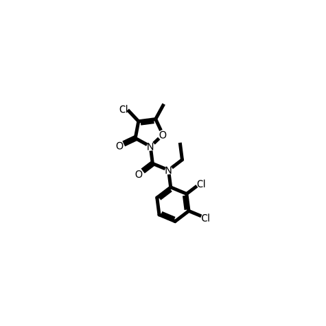 CCN(C(=O)n1oc(C)c(Cl)c1=O)c1cccc(Cl)c1Cl